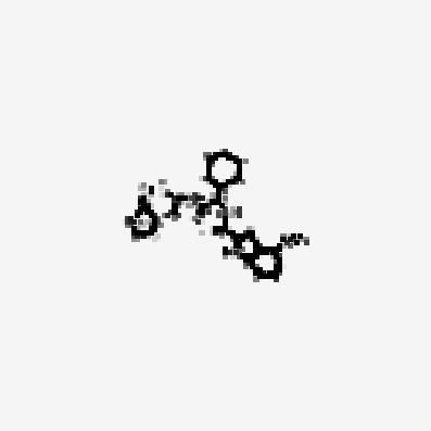 COc1cccc2[nH]c(C(=O)N[C@H](C(=O)N[C@H](C=O)C[C@@H]3CCNC3=O)C3CCCCC3)cc12